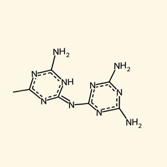 Cc1nc(N)[nH]/c(=N\c2nc(N)nc(N)n2)n1